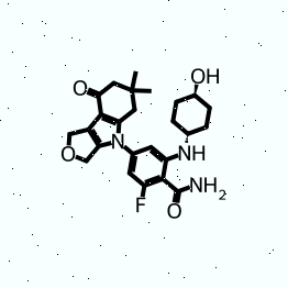 CC1(C)CC(=O)c2c3c(n(-c4cc(F)c(C(N)=O)c(N[C@H]5CC[C@H](O)CC5)c4)c2C1)COC3